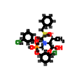 CCC(C(=O)O)N(CP(=O)(Oc1cccc(Cl)c1)Oc1cccc(Cl)c1)C(=O)[S+]([O-])Cc1ccccc1